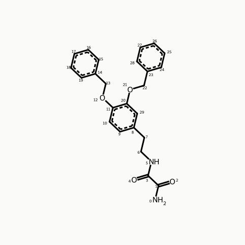 NC(=O)C(=O)NCCc1ccc(OCc2ccccc2)c(OCc2ccccc2)c1